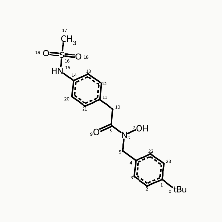 CC(C)(C)c1ccc(CN(O)C(=O)Cc2ccc(NS(C)(=O)=O)cc2)cc1